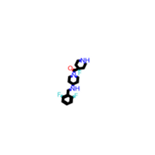 O=C(N1CCC(NCc2c(F)cccc2F)CC1)C1(F)CCNCC1